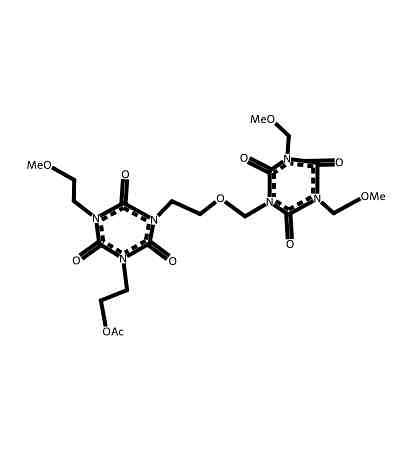 COCCn1c(=O)n(CCOCn2c(=O)n(COC)c(=O)n(COC)c2=O)c(=O)n(CCOC(C)=O)c1=O